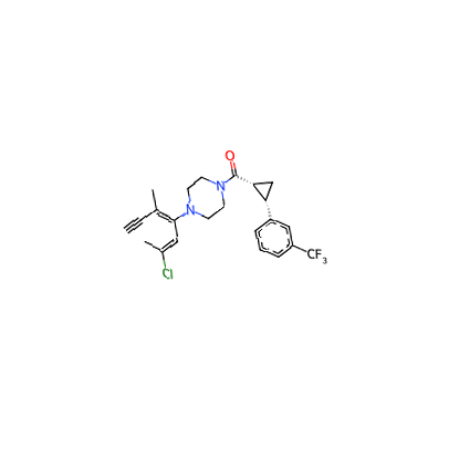 C#C/C(C)=C(\C=C(/C)Cl)N1CCN(C(=O)[C@@H]2C[C@@H]2c2cccc(C(F)(F)F)c2)CC1